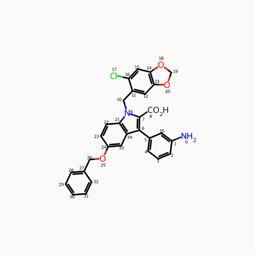 Nc1cccc(-c2c(C(=O)O)n(Cc3cc4c(cc3Cl)OCO4)c3ccc(OCc4ccccc4)cc23)c1